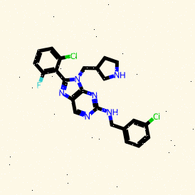 Fc1cccc(Cl)c1-c1nc2cnc(NCc3cccc(Cl)c3)nc2n1CC1CCNC1